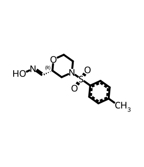 Cc1ccc(S(=O)(=O)N2CCO[C@@H](C=NO)C2)cc1